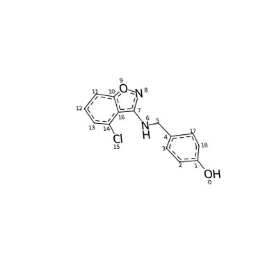 Oc1ccc(CNc2noc3cccc(Cl)c23)cc1